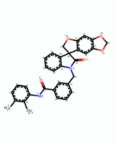 Cc1cccc(NC(=O)c2cccc(CN3C(=O)C4(COc5cc6c(cc54)OCO6)c4ccccc43)c2)c1C